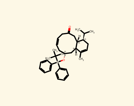 CC1=CC[C@H](C(C)C)[C@H]2CC(=O)CC=CC[C@@H](O[Si](c3ccccc3)(c3ccccc3)C(C)(C)C)C[C@@H]12